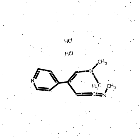 CN=C=CC(=CN(C)C)c1ccncc1.Cl.Cl